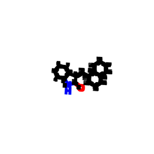 O=C1Nc2ccccc2/C1=C/c1cccc2ccccc12